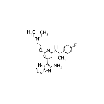 CCN(CC)CCOc1nc(N[C@@H](C)c2ccc(F)cc2)cc(-c2c(N)nn3cccnc23)n1